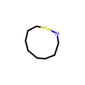 C1CCCCS[N]CCC1